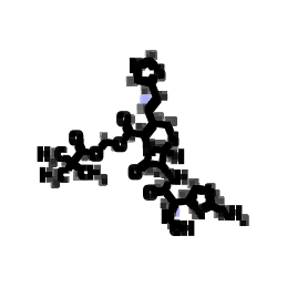 CC(C)(C)C(=O)OCOC(=O)C1=C(/C=C/c2cncs2)CS[C@@H]2C(NC(=O)/C(=N/O)c3csc(N)n3)C(=O)N12